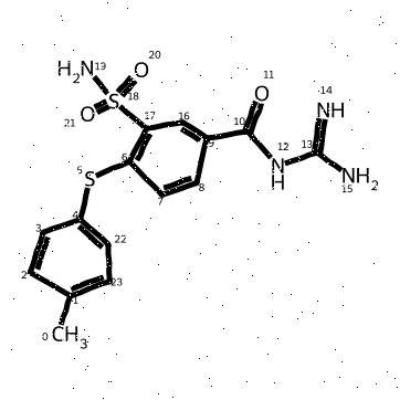 Cc1ccc(Sc2ccc(C(=O)NC(=N)N)cc2S(N)(=O)=O)cc1